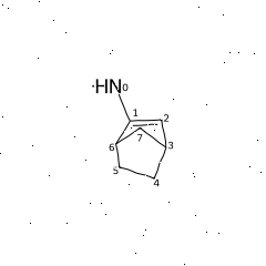 [NH]C1=CC2CCC1C2